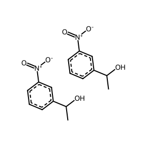 CC(O)c1cccc([N+](=O)[O-])c1.CC(O)c1cccc([N+](=O)[O-])c1